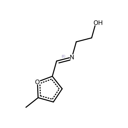 Cc1ccc(/C=N/CCO)o1